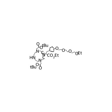 CCOCCOCCOCCOc1ccc(CC(C(=O)OCC)N2CCN(CC(=O)OC(C)(C)C)CCNCCN(CC(=O)OC(C)(C)C)CC2)cc1